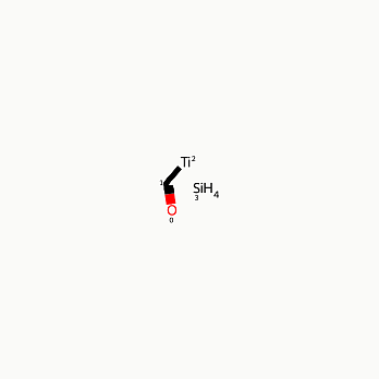 O=[CH][Ti].[SiH4]